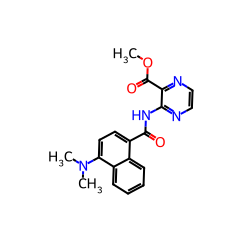 COC(=O)c1nccnc1NC(=O)c1ccc(N(C)C)c2ccccc12